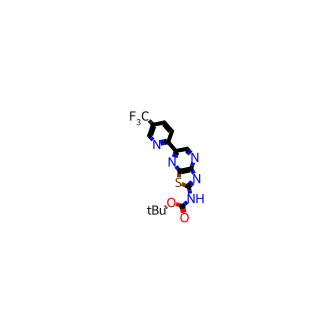 CC(C)(C)OC(=O)Nc1nc2ncc(-c3ccc(C(F)(F)F)cn3)nc2s1